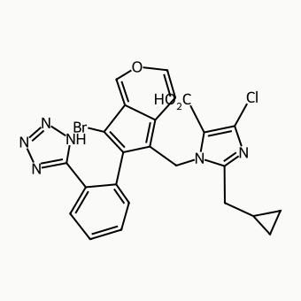 O=C(O)c1c(Cl)nc(CC2CC2)n1Cc1c2ccocc-2c(Br)c1-c1ccccc1-c1nnn[nH]1